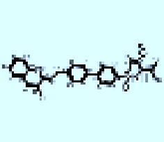 COC(=O)C(NS(=O)(=O)c1ccc(-c2ccc(COc3nc4ccccc4cc3C)cc2)cc1)C(C)C